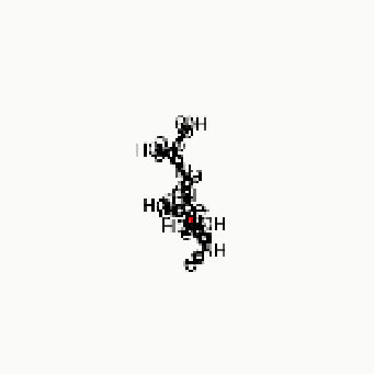 CCOc1cc(N=Nc2cc(OC)c(N=Nc3ccc4c(OCCCS(=O)(=O)O)cc(S(=O)(=O)O)cc4c3)cc2OC)c2cc(S(=O)(=O)O)ccc2c1N=Nc1c(S(=O)(=O)O)cc2cc(Nc3ccc(OC)cc3)ccc2c1O